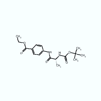 CCOC(=O)c1ccc(NC(=O)[C@@H](C)NC(=O)OC(C)(C)C)cc1